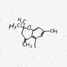 C=C1CC(C)(C)Oc2cc(O)cc(I)c21